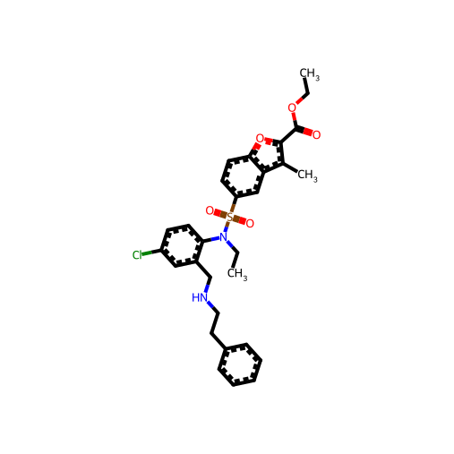 CCOC(=O)c1oc2ccc(S(=O)(=O)N(CC)c3ccc(Cl)cc3CNCCc3ccccc3)cc2c1C